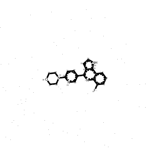 Fc1cccc2c1nc(-c1ccc(N3CCOCC3)nc1)c1cc[nH]c12